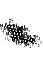 Bc1c(B)c(B)c(-c2c(B)c(B)c(-c3c4c(B)c(B)c(B)c(B)c4c(-c4c(B)c(B)c(-c5c(B)c(B)c6oc7c(B)c(B)c(B)c(B)c7c6c5B)c(B)c4B)c4c(B)c(B)c(B)c(B)c34)c(B)c2B)c(B)c1B